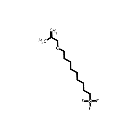 C=C(C)COCCCCCCCCC[Si](F)(F)F